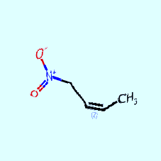 C/C=C\C[N+](=O)[O-]